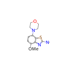 COc1ccc(N2CCOCC2)c2sc([N])nc12